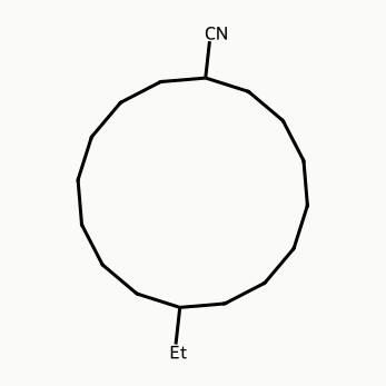 CCC1CCCCCCCC(C#N)CCCCCCC1